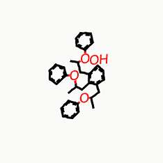 CC(Cc1ccc(O)c(CC(C)Oc2ccccc2)c1CC(C)Oc1ccccc1)Oc1ccccc1